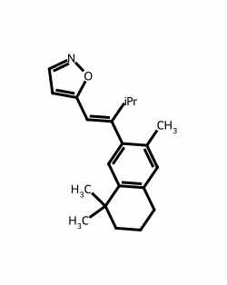 Cc1cc2c(cc1/C(=C/c1ccno1)C(C)C)C(C)(C)CCC2